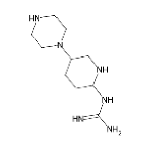 N=C(N)NC1CCC(N2CCNCC2)CN1